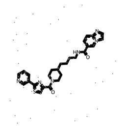 O=C(NCCCCC1CCN(C(=O)c2csc(-c3cccnc3)n2)CC1)c1ccc2nccn2c1